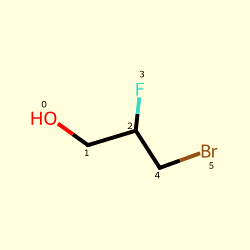 OCC(F)CBr